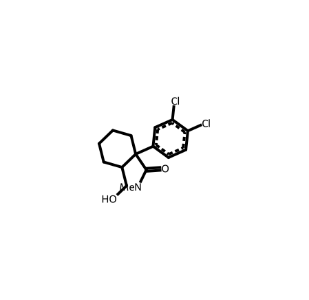 CNC(=O)C1(c2ccc(Cl)c(Cl)c2)CCCCC1CO